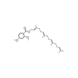 COc1ccc(C(=O)OC/C=C(\C)CC/C=C(\C)CC/C=C(\C)CCC=C(C)C)c(OC)c1